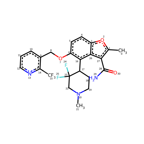 Cc1oc2ccc(OCc3cccnc3C(F)(F)F)c(C3CCN(C)CC3(F)F)c2c1C(N)=O